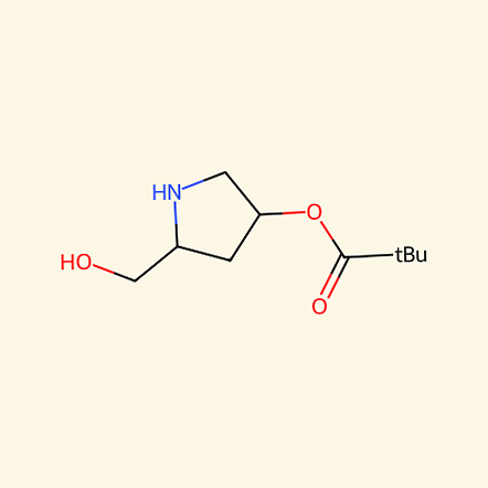 CC(C)(C)C(=O)OC1CNC(CO)C1